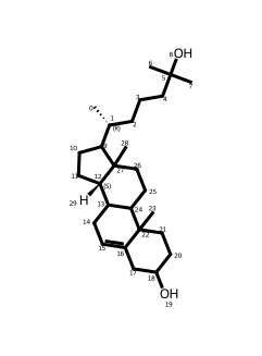 C[C@H](CCCC(C)(C)O)C1CC[C@H]2C3CC=C4CC(O)CCC4(C)C3CCC12C